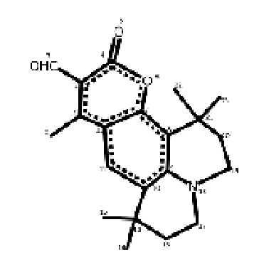 Cc1c(C=O)c(=O)oc2c3c4c(cc12)C(C)(C)CCN4CCC3(C)C